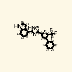 FC(F)(F)c1sc(C2=NC(c3cccc4[nH]ccc34)NO2)cc1-c1ccccc1